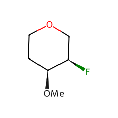 CO[C@H]1CCOC[C@H]1F